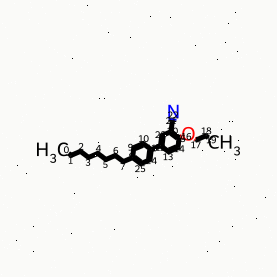 CCCCCCCCc1ccc(-c2ccc(OCCC)c(C#N)c2)cc1